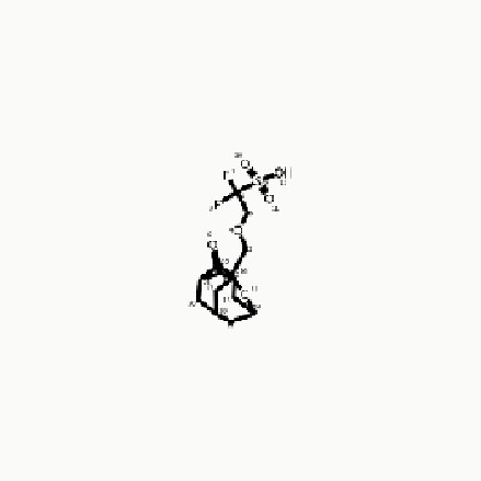 O=C1C(COCC(F)(F)S(=O)(=O)O)CC2CC3CC(C2)CC1C3